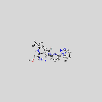 COC[C@H](N)c1nc(C2(C)CC2)cc2c1CN(c1cccc(-c3nnc4n3[C@@H](C)CC4)n1)C2=O